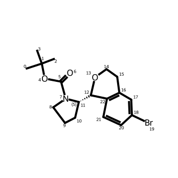 CC(C)(C)OC(=O)N1CCC[C@H]1C1OCCc2cc(Br)ccc21